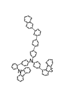 c1cc(-c2ccc(-c3ccc(N(c4ccc(-c5ccccc5-n5c6ccccc6c6ccccc65)cc4)c4ccc(-c5cccc6sc7ccccc7c56)cc4)cc3)cc2)cc(-c2ccc3ccccc3c2)c1